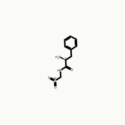 N[C@@H](Cc1ccccc1)C(=O)NC[SH](=O)=O